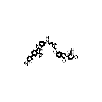 CN(CCNc1ccc2nc(-c3ccc(-c4ccc(N(C)C)nc4)cc3C(F)(F)F)sc2c1)CCOc1ccc2c(c1)CN(C1CCC(=O)NC1=O)C2=O